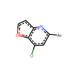 CC(=O)c1cc(Cl)c2occc2n1